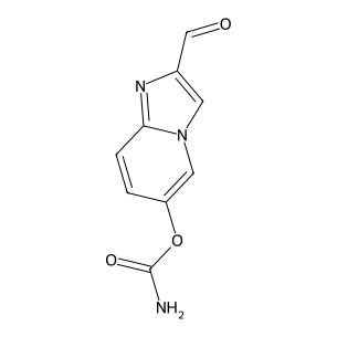 NC(=O)Oc1ccc2nc(C=O)cn2c1